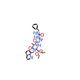 CCOC(OCC)C(C)N(Cc1cccc2cccnc12)C(=O)C(C)NC(=O)CN(C)NC(=O)NCc1ccccc1